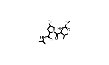 COC(=O)NC(C(=O)N1CC(O)CC1C(=O)NC(C)C)C(C)C